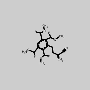 C=C(C#N)CCc1c(C(F)OC)c(C(F)OC)cc(C(F)OC)c1C(F)OC